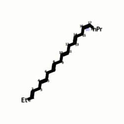 CCC=CCC=CCC=CCC=CCC=CC/C=C\CCC